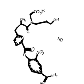 CC(Cc1ccc(C(=O)Oc2ccc(C(=N)N)cc2[N+](=O)[O-])s1)C(=O)N(CCCO)CC(=O)O.Cl